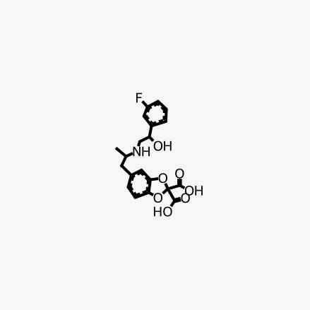 CC(Cc1ccc2c(c1)OC(C(=O)O)(C(=O)O)O2)NCC(O)c1cccc(F)c1